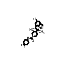 CC1(C2CCN(C(=O)NC3CCC(F)(F)CC3)CC2)[C@H](O)c2cc(Cl)cc3cnn1c23